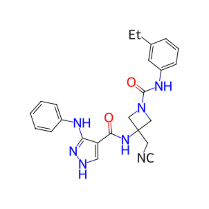 CCc1cccc(NC(=O)N2CC(CC#N)(NC(=O)c3c[nH]nc3Nc3ccccc3)C2)c1